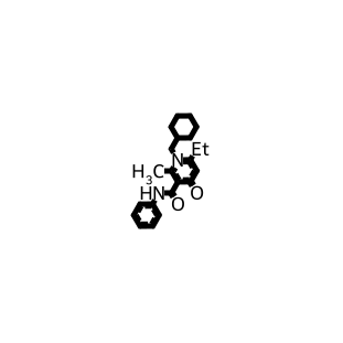 CCc1cc(=O)c(C(=O)Nc2ccccc2)c(C)n1CC1CCCCC1